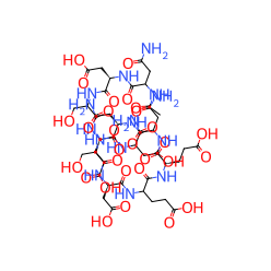 CC(=O)NC(CC(N)=O)C(=O)N[C@H](CC(=O)O)C(=O)NC(CO)C(=O)N[C@H](CCC(=O)O)C(=O)NC(CC(=O)O)C(=O)N[C@H](CC(N)=O)C(=O)NC(CO)C(=O)N[C@H](CC(=O)O)C(=O)NC(CCC(=O)O)C(=O)N[C@H](CCC(=O)O)C(=O)NC(CC(N)=O)C(N)=O